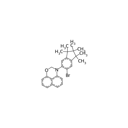 CC1(C)c2cc(Br)c(N3COc4cccc5cccc3c45)cc2C(C)(C)C1(C)C